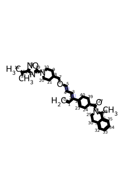 C=C/C(=C\C=C\OCC1CCN(c2nc(C(C)C)no2)CC1)C1=CCC(C(=O)N2CCc3ccccc3C2C)CC1